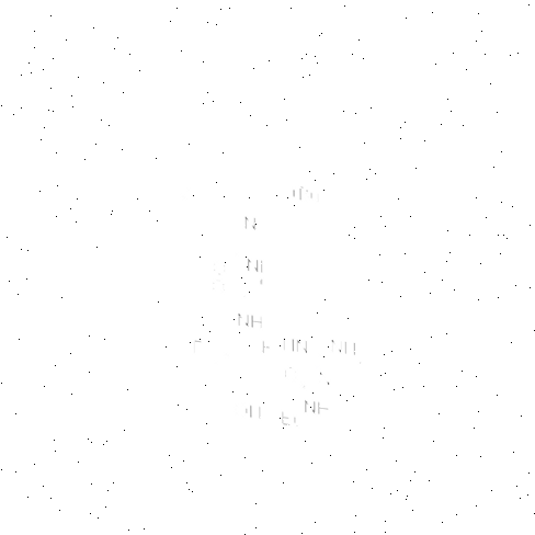 CCNC(=O)/N=C(/N)NCCC[C@@H](NC(=O)C(c1ccccc1)N1CCC(C(C)(C)C)CC1)C(=O)NCc1c(F)cc(O)cc1F